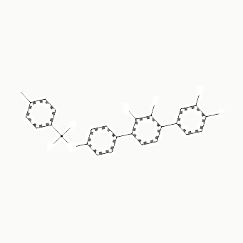 Cc1ccc(C(F)(F)Oc2ccc(-c3ccc(-c4ccc(F)c(F)c4)c(F)c3F)cc2)cc1